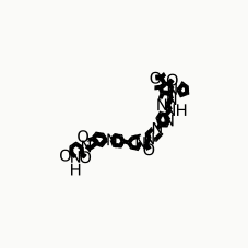 CC(=O)c1c(C)c2cnc(Nc3ccc(N4CCN(C(=O)N5CCC(C6CCN(c7ccc8c(c7)CN(C7CCC(=O)NC7=O)C8=O)CC6)CC5)CC4)cn3)nc2n(C2CCCC2)c1=O